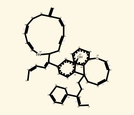 C=C1/C=C\C=C/CC(/C(=C\C=C/C)c2ccc(C3(CC/C(=C\C)C4=CC=CCC4)C/C=C\C=C/Oc4ccccc43)c(O)c2)NC=C/C=C\CC1